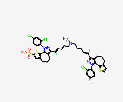 CN(CCC/C=C(\F)c1nn(-c2ccc(Cl)cc2Cl)c2c1CCCc1ccsc1-2)CCC/C=C(\F)c1nn(-c2ccc(Cl)cc2Cl)c2c1CCCc1cc(S(=O)(=O)O)sc1-2